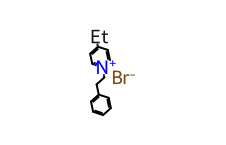 CCc1cc[n+](CCc2ccccc2)cc1.[Br-]